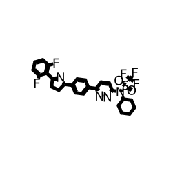 O=S(=O)(N(c1ccc(-c2ccc(C3CCC(c4c(F)cccc4F)=N3)cc2)nn1)C1CCCCC1)C(F)(F)F